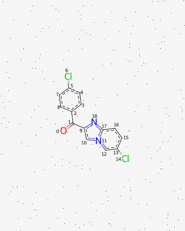 O=C(c1ccc(Cl)cc1)c1cn2cc(Cl)ccc2n1